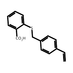 C=Cc1ccc(CSc2ccccc2C(=O)O)cc1